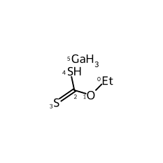 CCOC(=S)S.[GaH3]